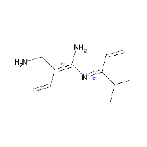 C=C/C(=N\C(N)=C(/C=C)CN)C(C)C